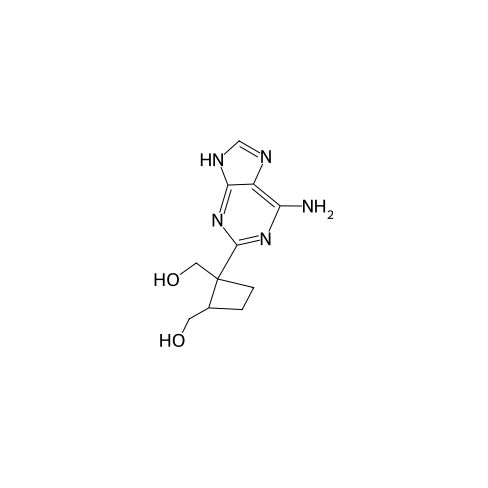 Nc1nc(C2(CO)CCC2CO)nc2[nH]cnc12